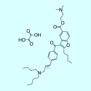 CCCCc1oc2ccc(C(=O)OCCN(C)C)cc2c1C(=O)c1ccc(/C=C/CN(CCCC)CCCC)cc1.O=C(O)C(=O)O